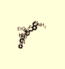 CCOC(=O)C(Cc1ccc2c(N)nccc2c1F)N1CCC(NS(=O)(=O)c2ccc(N3CCCC3)nc2)C1=O